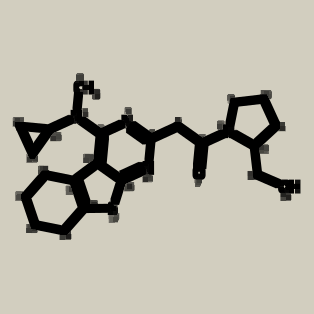 CN(c1nc(CC(=O)N2CCCC2CO)nc2sc3c(c12)CCCC3)C1CC1